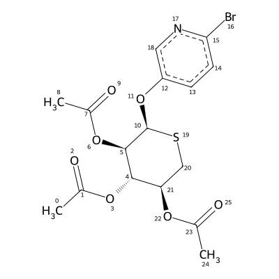 CC(=O)O[C@@H]1[C@@H](OC(C)=O)[C@@H](Oc2ccc(Br)nc2)SC[C@H]1OC(C)=O